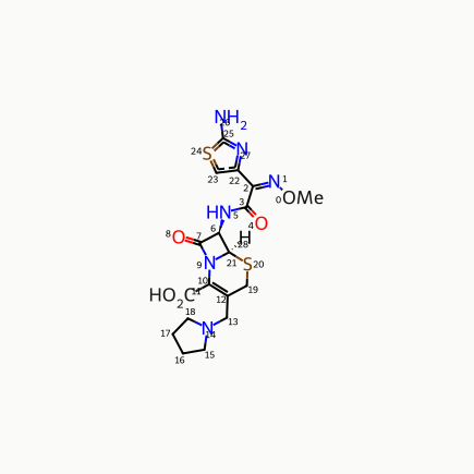 CO/N=C(\C(=O)N[C@@H]1C(=O)N2C(C(=O)O)=C(CN3CCCC3)CS[C@H]12)c1csc(N)n1